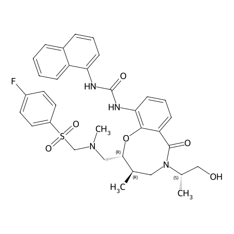 C[C@@H]1CN([C@@H](C)CO)C(=O)c2cccc(NC(=O)Nc3cccc4ccccc34)c2O[C@H]1CN(C)CS(=O)(=O)c1ccc(F)cc1